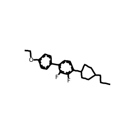 CCCC1CCC(c2ccc(-c3ccc(OCC)cc3)c(F)c2F)CC1